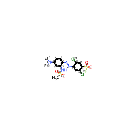 CCN(CC)c1ccc(N=Nc2cc(Cl)c(S(=O)(=O)F)cc2Cl)c(NS(C)(=O)=O)c1